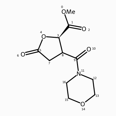 COC(=O)[C@@H]1OC(=O)CC1C(=O)N1CCOCC1